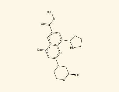 COC(=O)c1cc(C2CCCN2)c2oc(N3CCO[C@H](C)C3)cc(=O)c2c1